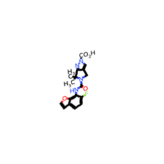 CC1(C)c2nn(C(=O)O)cc2CN1C(=O)Nc1c(F)ccc2ccoc12